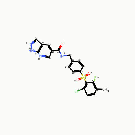 Cc1ccc(Cl)c(S(=O)(=O)c2ccc(CNC(=O)c3cnc4[nH]ncc4c3)cc2)c1F